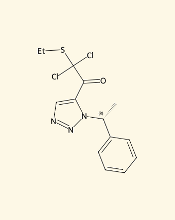 CCSC(Cl)(Cl)C(=O)c1cnnn1[C@H](C)c1ccccc1